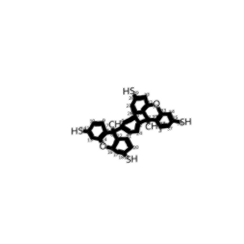 CC1(c2ccc(C3(C)c4ccc(S)cc4Oc4cc(S)ccc43)cc2)c2ccc(S)cc2Oc2cc(S)ccc21